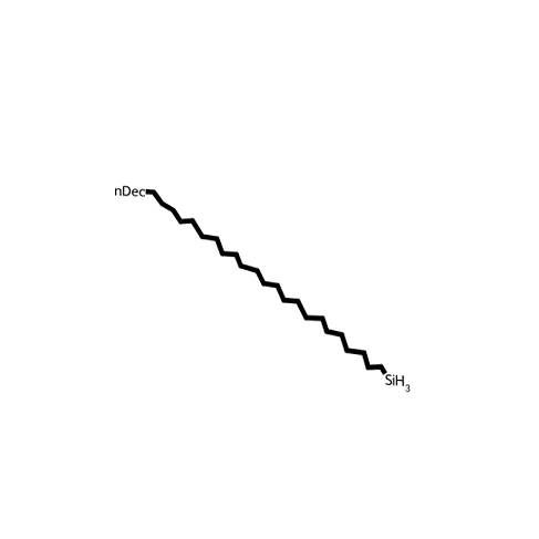 CCCCCCCCCCCCCCCCCCCCCCCCCCCCCCCCC[SiH3]